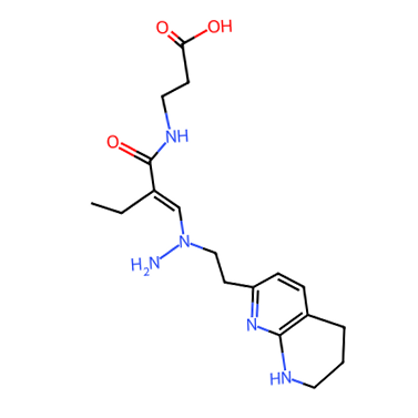 CC/C(=C\N(N)CCc1ccc2c(n1)NCCC2)C(=O)NCCC(=O)O